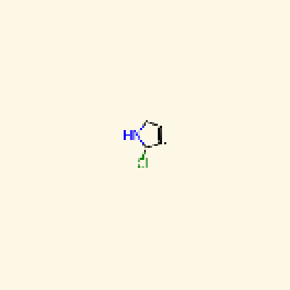 ClC1[C]=CCN1